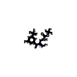 CC(/C(=C/F)CNC(=O)OC(C)(C)C)c1cc(F)cc(C(F)(F)F)c1